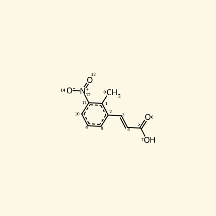 Cc1c(C=CC(=O)O)cccc1[N+](=O)[O-]